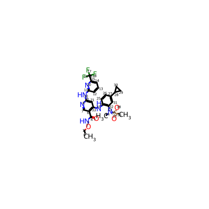 CCONC(=O)c1cnc(Nc2cccc(C(F)(F)F)n2)cc1Nc1ccc(C2CC2)cc1N(C)S(C)(=O)=O